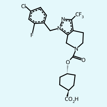 O=C(O[C@H]1CC[C@H](C(=O)O)CC1)N1CCc2c(C(F)(F)F)nn(Cc3ccc(Cl)cc3F)c2C1